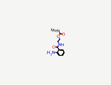 CNC(=O)OCCNC(=O)c1ccccc1N